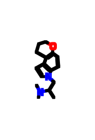 CC(Cn1ccc2c3c(ccc21)OCCC3)N(C)C